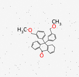 COCc1cccc(C2(c3cccc(COC)c3)C3=C(C=CCC3)C(=O)c3ccccc32)c1